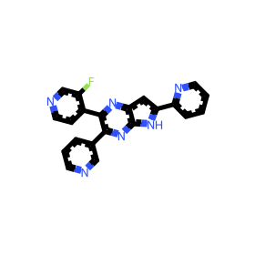 Fc1cnccc1-c1nc2cc(-c3ccccn3)[nH]c2nc1-c1cccnc1